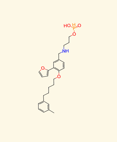 Cc1cccc(CCCCCOc2ccc(CNCCCO[PH](=O)O)cc2-c2ccco2)c1